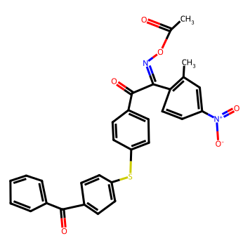 CC(=O)O/N=C(/C(=O)c1ccc(Sc2ccc(C(=O)c3ccccc3)cc2)cc1)c1ccc([N+](=O)[O-])cc1C